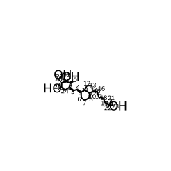 C=C1/C(=C\C=C2CCC[C@@]3(C)C2CC[C@@H]3[C@H](C)CCCC(C)(C)O)C[C@@H](O)[C@@H](CO)[C@H]1O